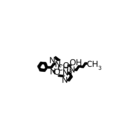 CCCCCN(C(=O)O)c1ccnc(CON=C(c2ccccc2)c2nccn2C)n1